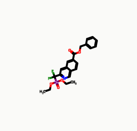 CCOP(=O)(OCC)C(F)(F)c1cc2cc(C(=O)OCc3ccccc3)ccc2cn1